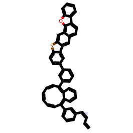 C=C/C=C\c1cccc(-c2ccccccc(-c3cccc(-c4ccc5sc6cc7c(ccc8c9ccccc9oc78)cc6c5c4)c3)c3ccccc23)c1